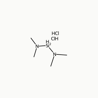 CN(C)[SiH2]N(C)C.Cl.Cl